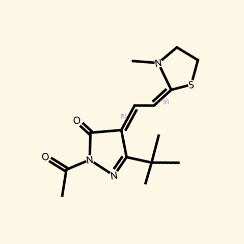 CC(=O)N1N=C(C(C)(C)C)/C(=C\C=C2\SCCN2C)C1=O